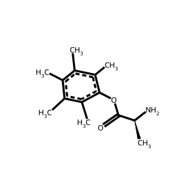 Cc1c(C)c(C)c(OC(=O)[C@H](C)N)c(C)c1C